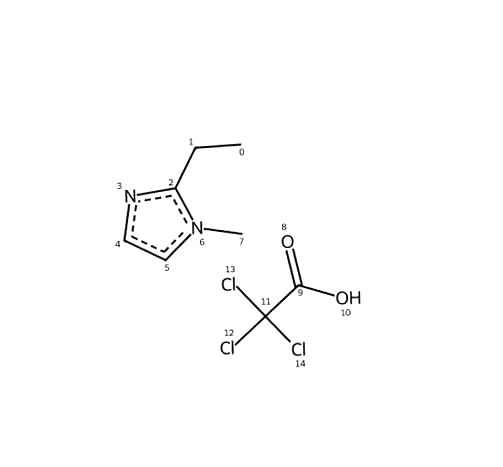 CCc1nccn1C.O=C(O)C(Cl)(Cl)Cl